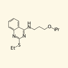 CCSc1nc(NCCCOC(C)C)c2ccccc2n1